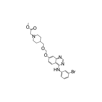 COC(=O)CN1CCC(COCOc2ccc3c(Nc4cccc(Br)c4)ncnc3c2)CC1